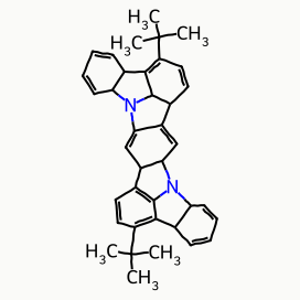 CC(C)(C)C1=C2C3C=CC=CC3N3C4=CC5c6ccc(C(C)(C)C)c7c6N(C5C=C4C(C=C1)C23)C1C=CC=CC71